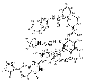 Cc1ncsc1-c1ccc([C@H](C)NC(=O)[C@@H]2C[C@@H](O)CN2CC(NC(=O)CC2CCC(Oc3cccc(-c4ccc(N5CCc6cccc(C(=O)Nc7nc8ccccc8s7)c6C5)nc4C(=O)O)c3C)CC2)C(C)(C)C)cc1